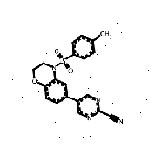 Cc1ccc(S(=O)(=O)N2CCOc3ccc(-c4cnc(C#N)nc4)cc32)cc1